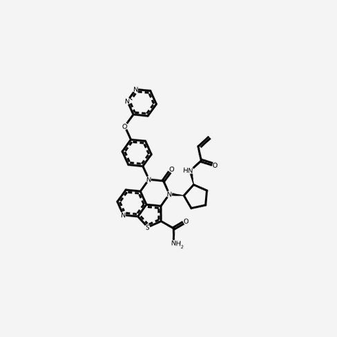 C=CC(=O)N[C@H]1CCC[C@H]1N1C(=O)N(c2ccc(Oc3cccnn3)cc2)c2ccnc3sc(C(N)=O)c1c23